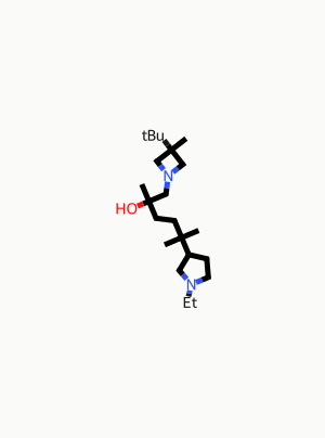 CCN1CCC(C(C)(C)CCC(C)(O)CN2CC(C)(C(C)(C)C)C2)C1